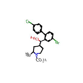 CC(C)(C)C1CC(C(O)c2cc(Br)ccc2-c2ccc(Cl)cc2)CCN1C(=O)O